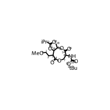 COCCC1C(=O)OCC(NC(=O)OC(C)(C)C)C(=O)OC(C)C1OC(=O)C(C)C